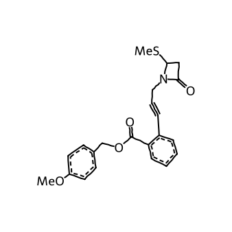 COc1ccc(COC(=O)c2ccccc2C#CCN2C(=O)CC2SC)cc1